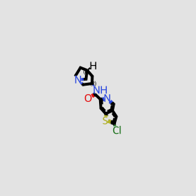 O=C(N[C@@H]1C[C@H]2CCN(C2)C1)c1cc2sc(Cl)cc2cn1